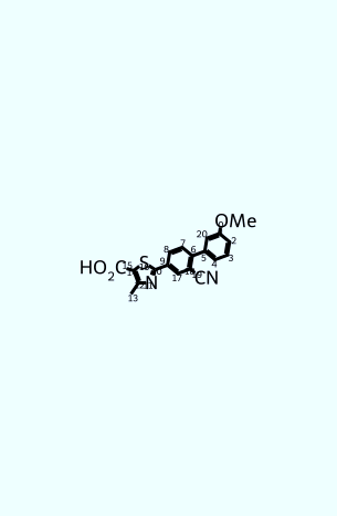 COc1cccc(-c2ccc(-c3nc(C)c(C(=O)O)s3)cc2C#N)c1